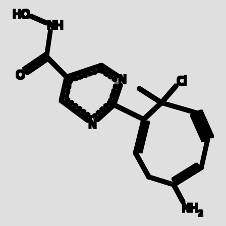 CC1(Cl)C#C/C=C(/N)C/C=C\1c1ncc(C(=O)NO)cn1